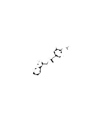 O=C(NCc1nnn2ncccc12)c1cnc(OC(F)F)c(F)c1